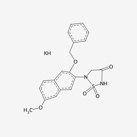 COc1ccc2cc(OCc3ccccc3)c(N3CC(=O)NS3(=O)=O)cc2c1.[KH]